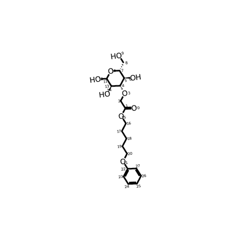 O=C(CO[C@H]1[C@H](O)[C@@H](CO)OC(O)[C@@H]1O)OCCCCCOc1ccccc1